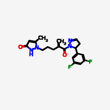 C=C(CCCn1[nH]c(=O)cc1C)C(=O)N1N=CCC1c1cc(F)cc(F)c1